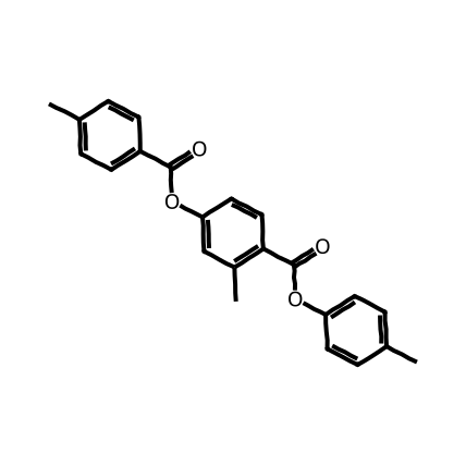 Cc1ccc(OC(=O)c2ccc(OC(=O)c3ccc(C)cc3)cc2C)cc1